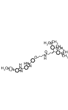 CN1CCN(c2ccc3nc(-c4ccc5nc(-c6ccc(OCCCCNC(=O)CCC=C7c8ccc(N(C)C)cc8S(C)(C)c8cc(N(C)C)ccc87)cc6)[nH]c5c4)[nH]c3c2)CC1